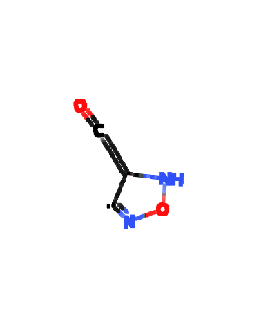 O=C=C1[C]=NON1